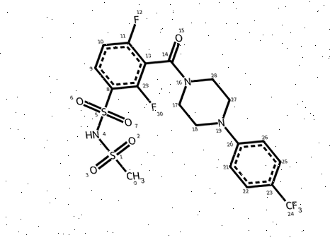 CS(=O)(=O)NS(=O)(=O)c1ccc(F)c(C(=O)N2CCN(c3ccc(C(F)(F)F)cc3)CC2)c1F